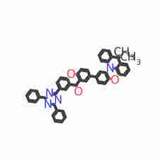 CC1(C)c2ccccc2N2c3cc(-c4ccc5oc6ccc(-c7nc(-c8ccccc8)nc(-c8ccccc8)n7)cc6c(=O)c5c4)ccc3Oc3cccc1c32